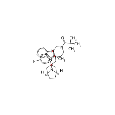 Cc1nc2ccccc2n1[C@H]1C[C@H]2CC[C@@H](C1)N2CCC1(c2ccc(F)cc2)CCN(C(=O)C(C)(C)C)CC1